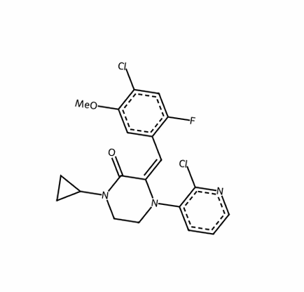 COc1cc(C=C2C(=O)N(C3CC3)CCN2c2cccnc2Cl)c(F)cc1Cl